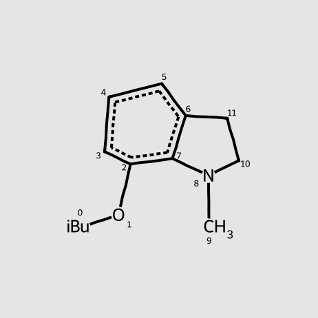 CCC(C)Oc1cccc2c1N(C)CC2